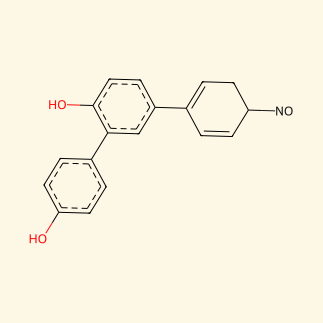 O=NC1C=CC(c2ccc(O)c(-c3ccc(O)cc3)c2)=CC1